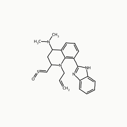 C=CCN1c2c(-c3nc4ccccc4[nH]3)cccc2C(N(C)C)CC1C=S=O